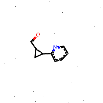 O=CC1CC1c1ccccn1